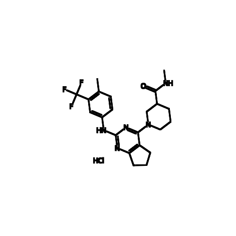 CNC(=O)C1CCCN(c2nc(Nc3ccc(C)c(C(F)(F)F)c3)nc3c2CCC3)C1.Cl